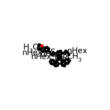 CCCCCCc1cc(-c2ccc(-c3cc(CCCCCC)c(-c4ccc5c(c4)C(CCCCCC)(CCCCCC)c4cc(C)ccc4-5)s3)c3nc(-c4cccc5ccccc45)c(-c4cccc5ccccc45)nc23)sc1C